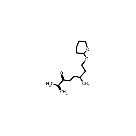 C=C(C)C(=O)CCC(C)CCOC1CCCCO1